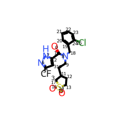 O=C(c1cc(C(F)(F)F)n[nH]1)N(CCC1CCS(=O)(=O)C1)Cc1ccccc1Cl